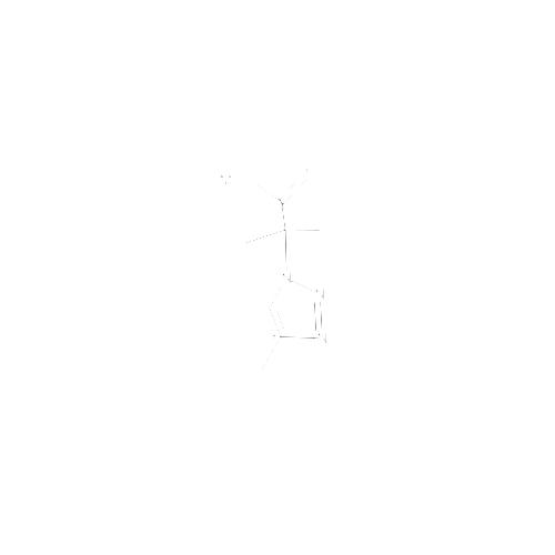 COC(=O)C(C)(C)n1cc(C(C)(C)C)nn1